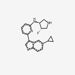 F[C@H]1CNC[C@@H]1Nc1cccc(-c2cnc3ccc(C4CC4)cn23)n1